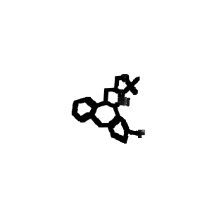 CC1(C)OCC(CC2c3ccccc3Cc3ccc(F)cc3C2O)O1